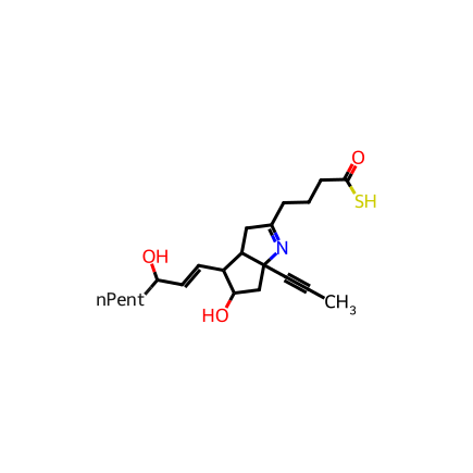 CC#CC12CC(O)C(/C=C/C(O)CCCCC)C1CC(CCCC(=O)S)=N2